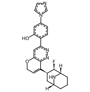 Oc1cc(-n2ccnc2)ccc1-c1cc2c(nn1)C([C@@H]1C[C@H]3CCC[C@H](N3)[C@@H]1F)=CCO2